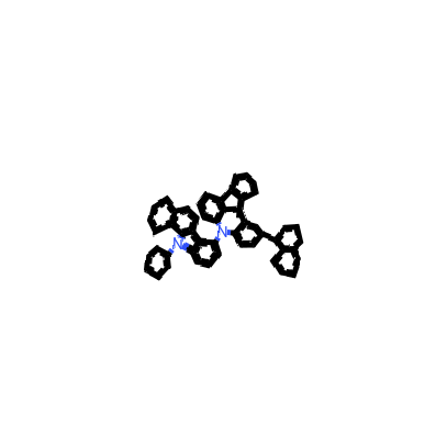 CC12c3ccccc3-c3cccc(c31)N(c1cccc3c1c1ccc4ccccc4c1n3-c1ccccc1)c1ccc(-c3cccc4ccccc34)cc12